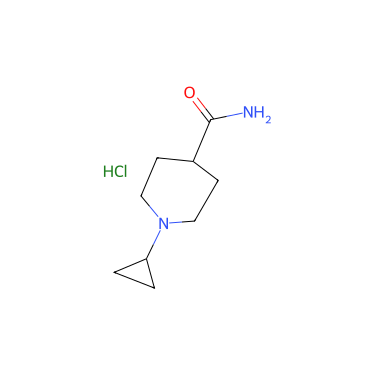 Cl.NC(=O)C1CCN(C2CC2)CC1